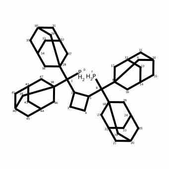 PC(C1CCC1C(P)(C12CC3CC(CC(C3)C1)C2)C12CC3CC(CC(C3)C1)C2)(C12CC3CC(CC(C3)C1)C2)C12CC3CC(CC(C3)C1)C2